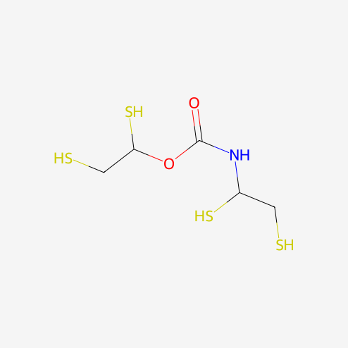 O=C(NC(S)CS)OC(S)CS